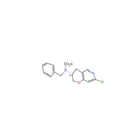 O=C(O)N(Cc1ccccc1)[C@H]1COc2cc(Cl)ncc2C1